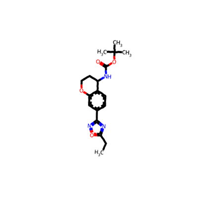 CCc1nc(-c2ccc3c(c2)OCCC3NC(=O)OC(C)(C)C)no1